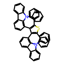 c1ccc(-c2sc(-c3ccccc3)c(-c3cccc4c5ccccc5n(-c5ccccc5)c34)c2-c2cccc3c4ccccc4n(-c4ccccc4)c23)cc1